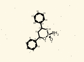 BP1(=O)OC(c2ccccc2)CC(c2ccccc2)S1